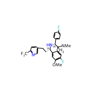 C=C(NC)[C@H](N[C@@H](CCc1ccc(C(F)(F)F)nc1)c1ccc(F)c(OC)c1)c1ccc(F)cc1